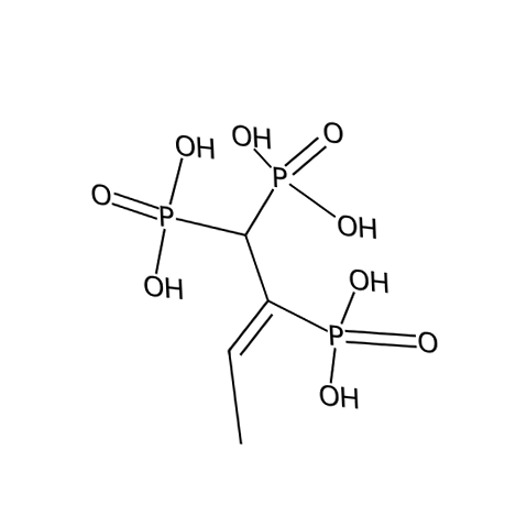 CC=C(C(P(=O)(O)O)P(=O)(O)O)P(=O)(O)O